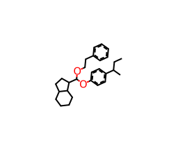 CCC(C)c1ccc(OC(OCCc2ccccc2)C2CCC3CCCCC32)cc1